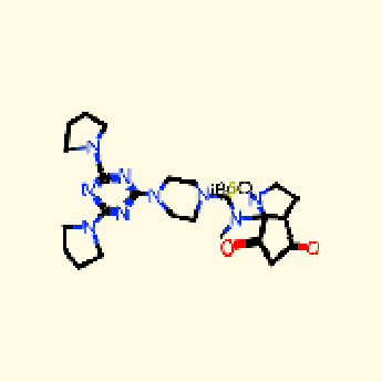 CC(C)CON1CCC2C(=O)CC(=O)C21N(C)C(=S)N1CCN(c2nc(N3CCCC3)nc(N3CCCC3)n2)CC1